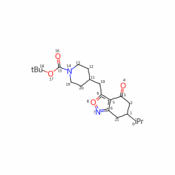 CC(C)C1CC(=O)c2c(noc2CC2CCN(C(=O)OC(C)(C)C)CC2)C1